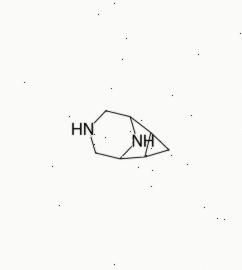 C1NCC2NC1C1CC21